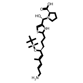 CC(/C=C/CN)=C\[C@H](CCCC1NC([C@H](O)N2CCC[C@@H]2C(=O)O)=CS1)O[Si](C)(C)C(C)(C)C